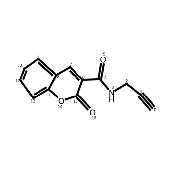 C#CCNC(=O)c1cc2ccccc2oc1=O